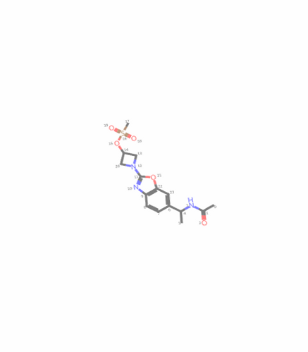 CC(=O)NC(C)c1ccc2nc(N3CC(OS(C)(=O)=O)C3)oc2c1